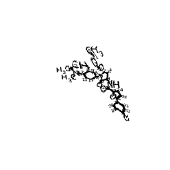 CCOC(=O)[C@H]1C[C@H](N(C)C(C)C)CC[C@@H]1N1CCC(NC(=O)c2ccc(-c3ccc(Cl)cc3)o2)C1=O